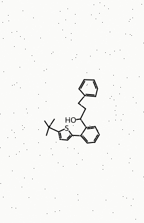 CC(C)(C)c1ccc(-c2ccccc2C(O)CCc2ccccc2)s1